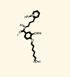 CCCCCCCCCCCCCCCCOc1ccc(C(=O)N(CCCc2cccc[n+]2CCC)C(C)=O)cc1OC.[I-]